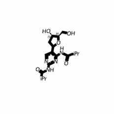 CC(C)C(=O)Nc1ncc(C2C[C@H](O)[C@@H](CO)O2)c(NC(=O)C(C)C)n1